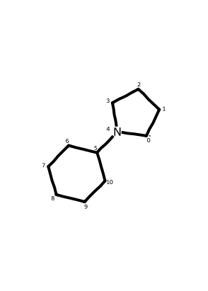 [CH]1CCCN1C1CCCCC1